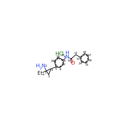 CCC1(N)CC1c1ccc(NC(=O)Cc2ccccc2)cc1.Cl